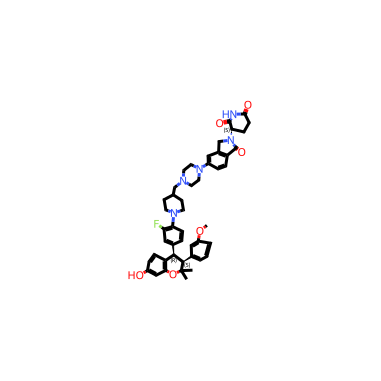 COc1cccc([C@@H]2[C@H](c3ccc(N4CCC(CN5CCN(c6ccc7c(c6)CN([C@H]6CCC(=O)NC6=O)C7=O)CC5)CC4)c(F)c3)c3ccc(O)cc3OC2(C)C)c1